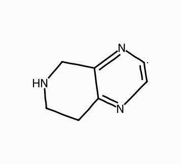 [c]1cnc2c(n1)CNCC2